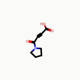 O=C(O)C#CC(=O)N1CCCC1